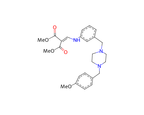 COC(=O)C(=CNc1cccc(CN2CCN(Cc3ccc(OC)cc3)CC2)c1)C(=O)OC